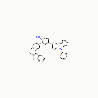 Nc1ccc(-c2ccc3c(c2)c2ccccc2n3-c2ccccc2)cc1-c1ccc2ccc3sc4ccccc4c3c2c1